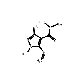 C=Nc1c(C(=O)N(C)C(C)(C)C)c(C)nn1C